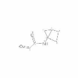 O=CC(=O)NC12CCC1C2